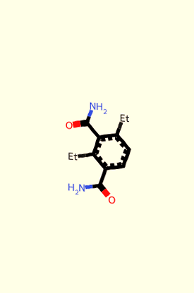 CCc1ccc(C(N)=O)c(CC)c1C(N)=O